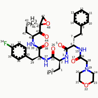 CC(C)C[C@H](NC(=O)[C@H](CCc1ccccc1)NC(=O)CN1CCOCC1)C(=O)N[C@@H](Cc1ccc(F)cc1)C(=O)N[C@@H](CC(C)C)C(=O)[C@@]1(C)CO1